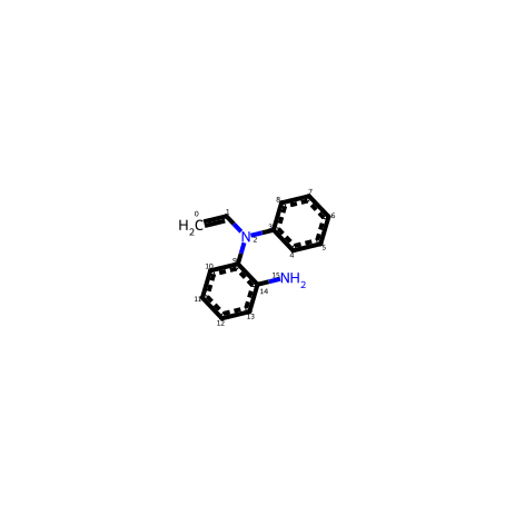 C=CN(c1ccccc1)c1ccccc1N